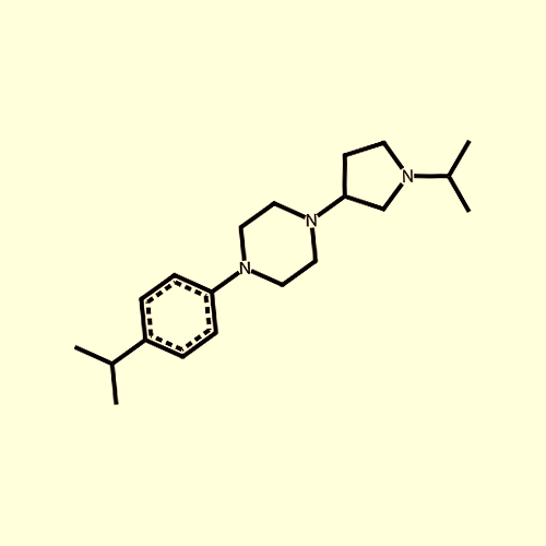 CC(C)c1ccc(N2CCN(C3CCN(C(C)C)C3)CC2)cc1